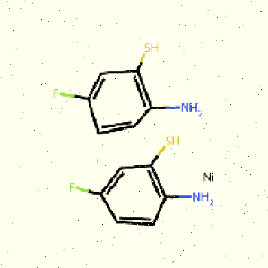 Nc1ccc(F)cc1S.Nc1ccc(F)cc1S.[Ni]